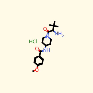 COc1ccc(C(=O)NC2CCN(C(=O)C(N)C(C)(C)C)CC2)cc1.Cl